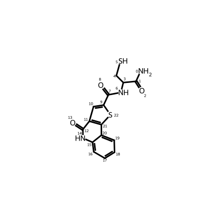 NC(=O)C(CS)NC(=O)c1cc2c(=O)[nH]c3ccccc3c2s1